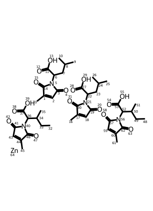 CC1=CC(=O)N(C(CC(C)C)C(=O)O)C1=O.CC1=CC(=O)N(C(CC(C)C)C(=O)O)C1=O.CCC(C)C(C(=O)O)N1C(=O)C=C(C)C1=O.CCC(C)C(C(=O)O)N1C(=O)C=C(C)C1=O.[Zn]